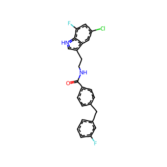 O=C(NCCc1c[nH]c2c(F)cc(Cl)cc12)c1ccc(Cc2cccc(F)c2)cc1